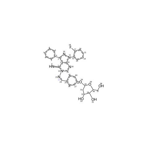 N=c1c2c(-c3ccccc3)nn(-c3ccccc3F)c2ncn1/N=C\c1ccc(OC2CC(O)C(O)C(CO)O2)cc1